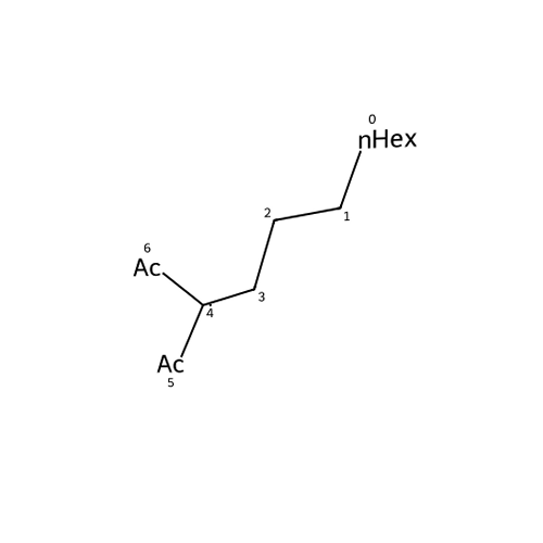 CCCCCCCCC[C](C(C)=O)C(C)=O